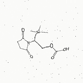 C[Si](C)(C)C(COC(=O)O)N1C(=O)CCC1=O